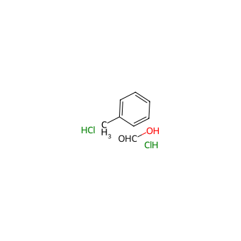 Cc1ccccc1.Cl.Cl.O=CO